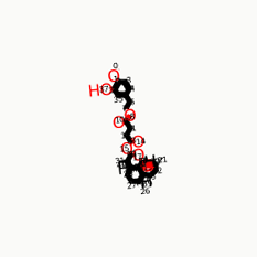 COc1ccc(CCOC(=O)CCC(=O)O[C@@H]2O[C@@H]3O[C@]4(C)CC[C@H]5[C@H](C)CC[C@@H]([C@H]2C)[C@@]35OO4)cc1O